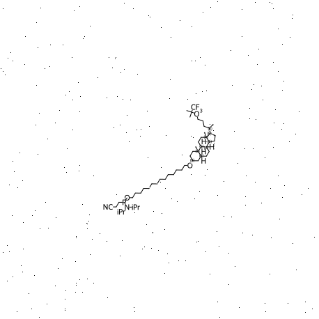 CC(C)N(C(C)C)P(CCC#N)OCCCCCCCCCCCCCCO[C@@H]1CC[C@@]2(C)[C@H](CC[C@@H]3[C@@H]2CC[C@]2(C)[C@@H]([C@H](C)CCCOC(C)(C)C(F)(F)F)CC[C@@H]32)C1